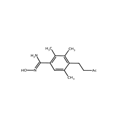 CC(=O)CCc1c(C)cc(/C(N)=N/O)c(C)c1C